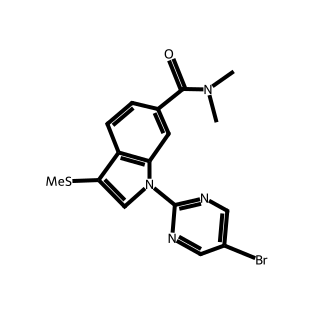 CSc1cn(-c2ncc(Br)cn2)c2cc(C(=O)N(C)C)ccc12